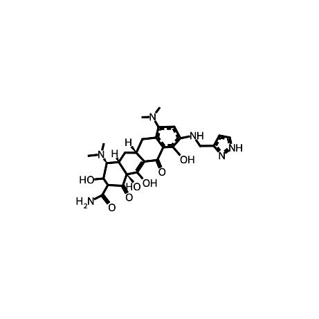 CN(C)c1cc(NCc2cc[nH]n2)c(O)c2c1C[C@H]1C[C@H]3[C@H](N(C)C)C(O)C(C(N)=O)C(=O)[C@@]3(O)C(O)=C1C2=O